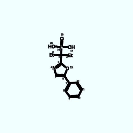 CCC(CC)(c1ncc(-c2ccccc2)o1)P(=O)(O)O